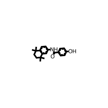 CC1(C)CCC(C)(C)c2cc(NC(=O)c3ccc(O)cc3)ccc21